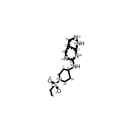 CCS(=O)(=O)N1CCC(Nc2ncc3cn[nH]c3n2)CC1